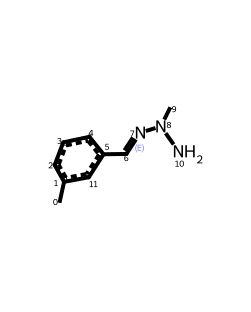 Cc1cccc(/C=N/N(C)N)c1